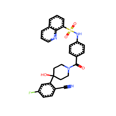 N#Cc1ccc(F)cc1C1(O)CCN(C(=O)c2ccc(NS(=O)(=O)c3cccc4cccnc34)cc2)CC1